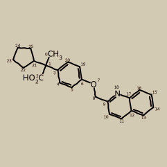 CC(C(=O)O)(c1ccc(OCc2ccc3ccccc3n2)cc1)C1CCCC1